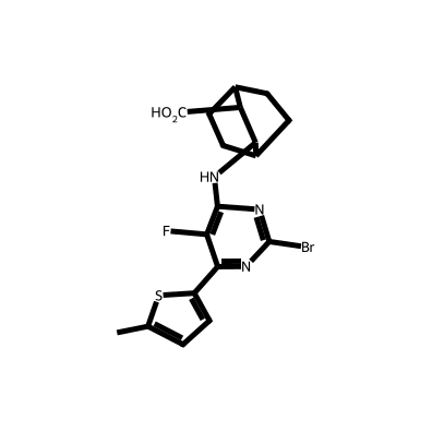 Cc1ccc(-c2nc(Br)nc(NC3C4CCC(CC4)C3C(=O)O)c2F)s1